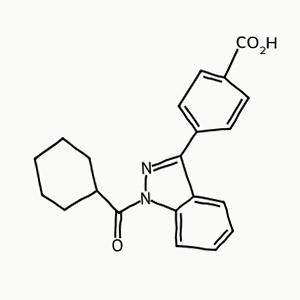 O=C(O)c1ccc(-c2nn(C(=O)C3CCCCC3)c3ccccc23)cc1